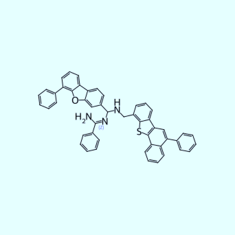 N/C(=N\C(NCc1cccc2c1sc1c3ccccc3c(-c3ccccc3)cc21)c1ccc2c(c1)oc1c(-c3ccccc3)cccc12)c1ccccc1